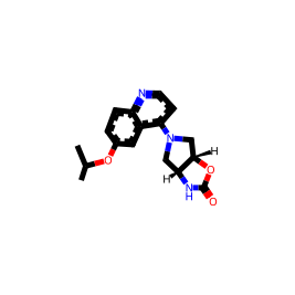 CC(C)Oc1ccc2nccc(N3C[C@@H]4OC(=O)N[C@@H]4C3)c2c1